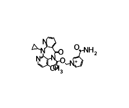 Cc1ccnc2c1N(C(=O)OC[n+]1cccc(C(N)=O)c1)C(=O)c1cccnc1N2C1CC1